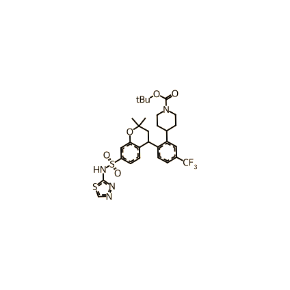 CC(C)(C)OC(=O)N1CCC(c2cc(C(F)(F)F)ccc2C2CC(C)(C)Oc3cc(S(=O)(=O)Nc4nncs4)ccc32)CC1